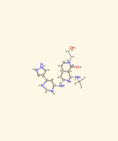 CC(C)(C)Nc1nc(Nc2cc(-c3cn[nH]c3)ncn2)cc2ccn(CCO)c(=O)c12